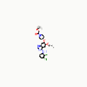 COCC(=O)N1CCC(Oc2cc3ncnc(Nc4cccc(Cl)c4F)c3cc2OC)CC1